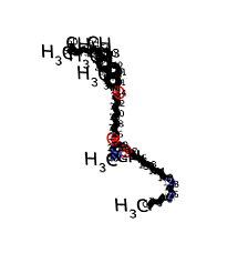 CCCCC/C=C\C/C=C\CCCCCCCCOCC(CN(C)C)OCCCCCCCCO[C@H]1CC[C@@]2(C)C(=CCC3C2CC[C@@]2(C)C3CC[C@@H]2[C@H](C)CCCC(C)C)C1